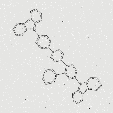 c1ccc(-c2cc(-n3c4ccccc4c4ccccc43)ccc2-c2ccc(-c3ccc(-n4c5ccccc5c5ccccc54)cc3)cc2)cc1